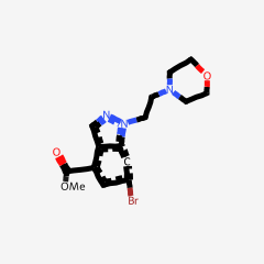 COC(=O)c1cc(Br)cc2c1cnn2CCN1CCOCC1